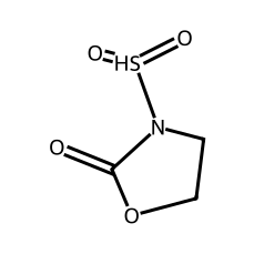 O=C1OCCN1[SH](=O)=O